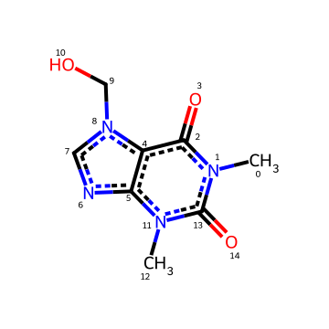 Cn1c(=O)c2c(ncn2CO)n(C)c1=O